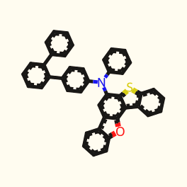 c1ccc(-c2ccccc2-c2ccc(N(c3ccccc3)c3cc4c5ccccc5oc4c4c3sc3ccccc34)cc2)cc1